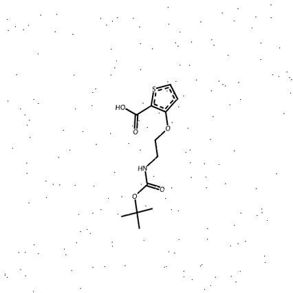 CC(C)(C)OC(=O)NCCOc1ccsc1C(=O)O